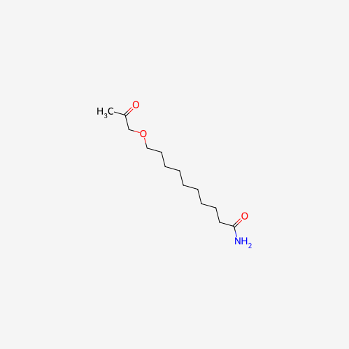 CC(=O)COCCCCCCCCCC(N)=O